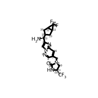 N[C@H](c1cn2ncc(CN3C[C@@H](C(F)(F)F)NC3=O)cc2n1)C1CC2C(C1)C2(F)F